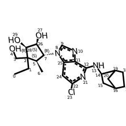 CCC1(CO)[C@H](C)[C@@H](n2cnc3c(NC4CC5CCC4C5)nc(Cl)cc32)[C@H](O)[C@@H]1O